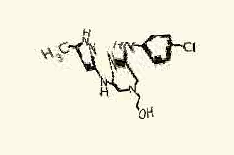 Cc1cc(NC2=CN(CCO)CC(Nc3ccc(Cl)cc3)=N2)n[nH]1